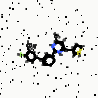 O=C(O)c1cc(-c2cccc(-c3nc(-c4ccsc4)cc(C(F)(F)F)n3)c2)ccc1F